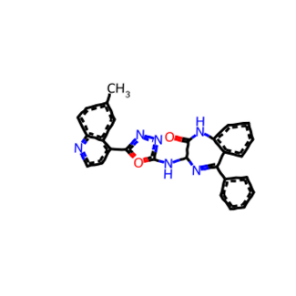 Cc1ccc2nccc(-c3nnc(NC4N=C(c5ccccc5)c5ccccc5NC4=O)o3)c2c1